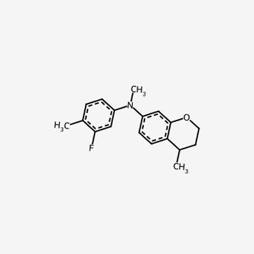 Cc1ccc(N(C)c2ccc3c(c2)OCCC3C)cc1F